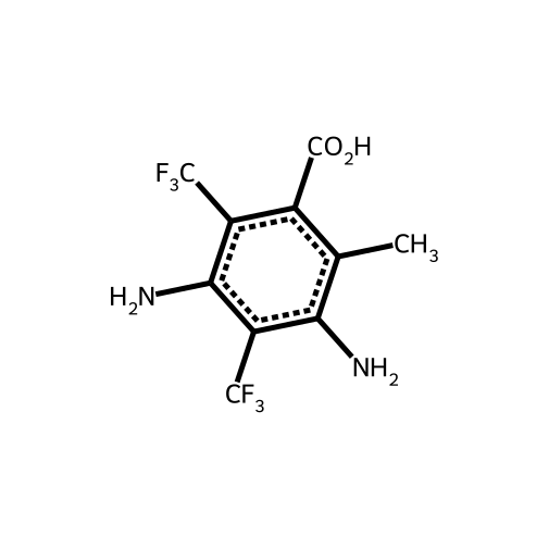 Cc1c(N)c(C(F)(F)F)c(N)c(C(F)(F)F)c1C(=O)O